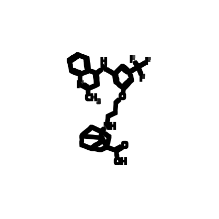 Cc1cc(Nc2cc(OCCCNC34CC5CC(C3)CC(C(=O)O)(C5)C4)cc(C(F)(F)F)c2)c2ccccc2n1